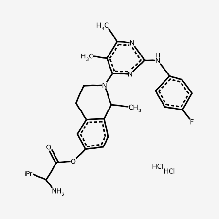 Cc1nc(Nc2ccc(F)cc2)nc(N2CCc3cc(OC(=O)C(N)C(C)C)ccc3C2C)c1C.Cl.Cl